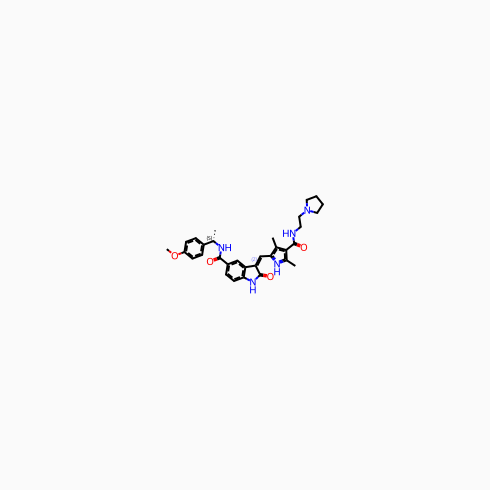 COc1ccc([C@H](C)NC(=O)c2ccc3c(c2)/C(=C/c2[nH]c(C)c(C(=O)NCCN4CCCC4)c2C)C(=O)N3)cc1